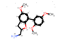 COc1ccc(OC)c(-c2cc(OC)cc3c2OC(CN)C3)c1